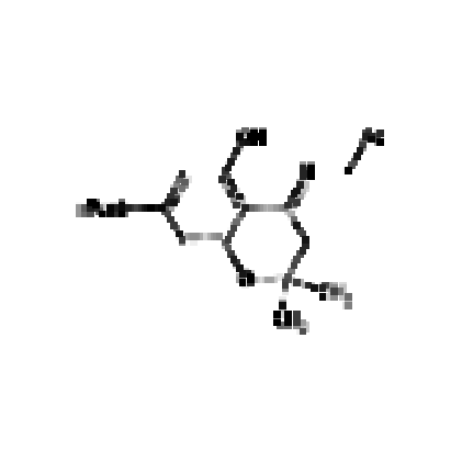 CCCCCc1cc(O)c2c(c1)OC(C)(C)CC2=NCC(C)=O